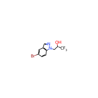 O[C@H](Cn1ncc2cc(Br)ccc21)C(F)(F)F